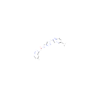 O=C(Cc1ncn2ccc(Cl)cc12)NCc1cn(Cc2cn3cc(C4CC4)ccc3n2)nn1